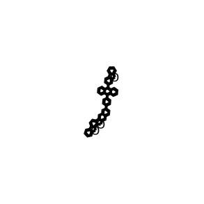 c1ccc2c(c1)oc1cc(-c3c4ccccc4c(-c4ccc(-c5ccc6cc7oc8c(ccc9c%10ccccc%10oc98)c7cc6c5)cc4)c4ccccc34)ccc12